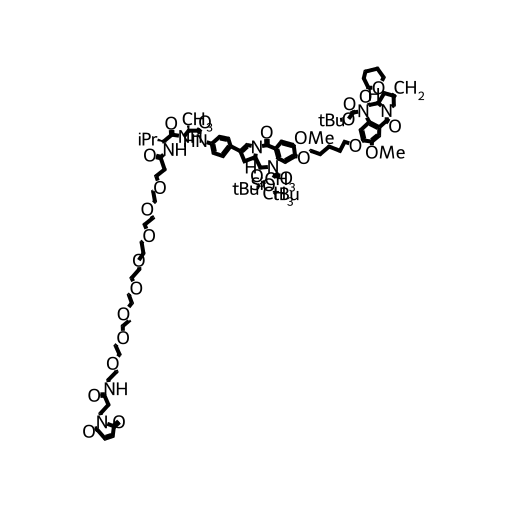 C=C1C[C@H]2[C@H](OC3CCCCO3)N(C(=O)OC(C)(C)C)c3cc(OCCCCCOc4cc5c(cc4OC)C(=O)N4C=C(c6ccc(NC(=O)[C@H](C)NC(=O)[C@@H](NC(=O)CCOCCOCCOCCOCCOCCOCCOCCOCCNC(=O)CCN7C(=O)C=CC7=O)C(C)C)cc6)C[C@H]4[C@H](O[Si](C)(C)C(C)(C)C)N5C(=O)OC(C)(C)C)c(OC)cc3C(=O)N2C1